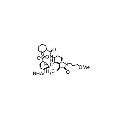 C/C=C1/C(=O)N(CCCOC)C2=CCC(NC(=O)C3CCCCN3S(=O)(=O)C3C=CC(NC(C)=O)=CC3)C(C)=C21